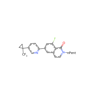 CCCCCn1ccc2cc(-c3ccc(C4(C(F)(F)F)CC4)cn3)cc(F)c2c1=O